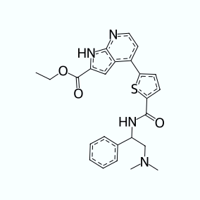 CCOC(=O)c1cc2c(-c3ccc(C(=O)NC(CN(C)C)c4ccccc4)s3)ccnc2[nH]1